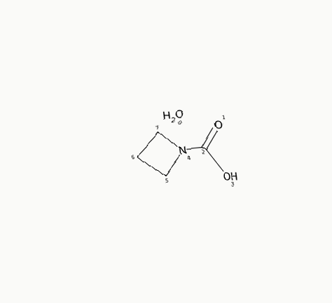 O.O=C(O)N1CCC1